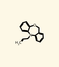 C=CCN1c2ccccc2COc2ccccc21